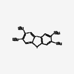 CC(C)(C)c1cc2c(cc1C(C)(C)C)-c1cc(C(C)(C)C)c(C(C)(C)C)cc1[CH]2